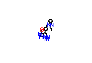 CCCc1nc2ccccc2n1Cc1ccc2c(c1)OCc1ncccc1C2=Cc1nnn[nH]1